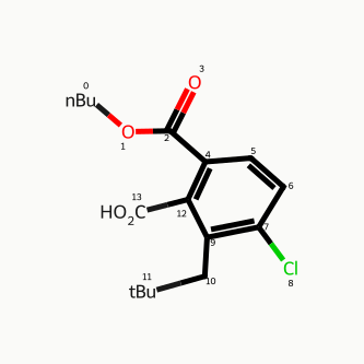 CCCCOC(=O)c1ccc(Cl)c(CC(C)(C)C)c1C(=O)O